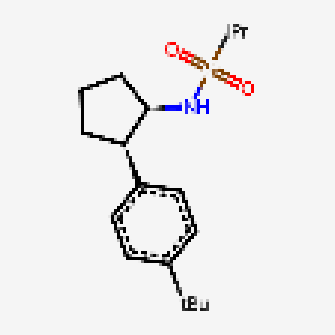 CC(C)S(=O)(=O)N[C@@H]1CCC[C@@H]1c1ccc(C(C)(C)C)cc1